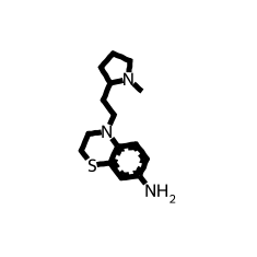 CN1CCCC1CCN1CCSc2cc(N)ccc21